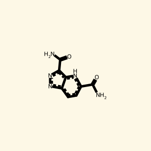 NC(=O)c1ccc2nnc(C(N)=O)c-2[nH]1